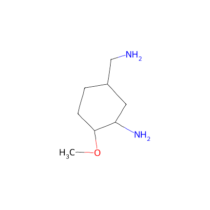 COC1CCC(CN)CC1N